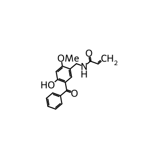 C=CC(=O)NCc1cc(C(=O)c2ccccc2)c(O)cc1OC